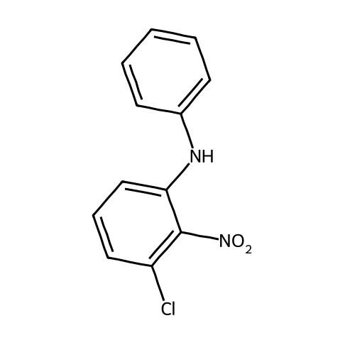 O=[N+]([O-])c1c(Cl)cccc1Nc1ccccc1